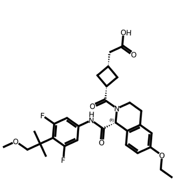 CCOc1ccc2c(c1)CCN(C(=O)[C@H]1C[C@@H](CC(=O)O)C1)[C@H]2C(=O)Nc1cc(F)c(C(C)(C)COC)c(F)c1